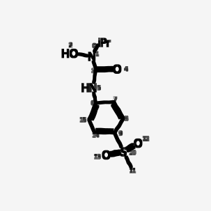 CC(C)N(O)C(=O)Nc1ccc(S(C)(=O)=O)cc1